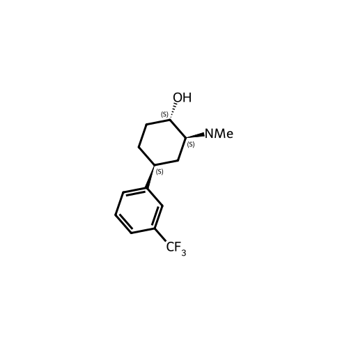 CN[C@H]1C[C@@H](c2cccc(C(F)(F)F)c2)CC[C@@H]1O